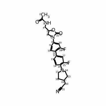 CC(=O)NCC1CN(c2ccc(-c3ccc(N4C[CH][C](CC#N)CC4)c(F)c3)c(F)c2)C(=O)O1